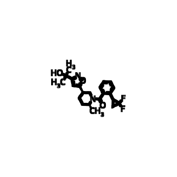 C[C@@H]1CC[C@@H](c2cc(C(C)(C)O)no2)CN1C(=O)c1ccccc1C1CC1(F)F